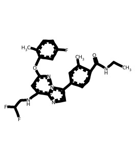 CCNC(=O)c1ccc(-c2cnc3c(NCC(F)F)cc(Oc4cc(F)ccc4C)nn23)cc1C